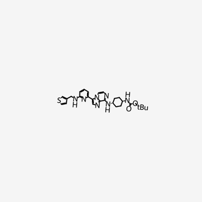 CC(C)(C)OC(=O)N[C@H]1CC[C@H](Nc2nccn3c(-c4cccc(NCc5ccsc5)n4)cnc23)CC1